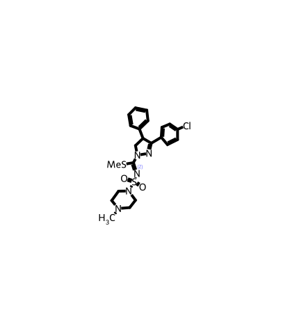 CS/C(=N\S(=O)(=O)N1CCN(C)CC1)N1CC(c2ccccc2)C(c2ccc(Cl)cc2)=N1